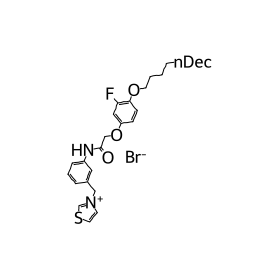 CCCCCCCCCCCCCCOc1ccc(OCC(=O)Nc2cccc(C[n+]3ccsc3)c2)cc1F.[Br-]